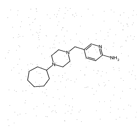 Nc1ccc(CN2CCN(C3CCCCCC3)CC2)cn1